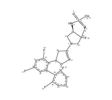 CS(=O)(=O)N[C@@H]1CN(C2=NOC(c3c(F)cc(F)cc3-c3c(F)cccc3F)C2)CC1(F)F